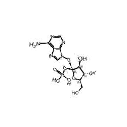 Nc1ncnc2c1ncn2O[C@]1(OP(=O)(O)O)O[C@H](CO)[C@@H](O)[C@@H]1O